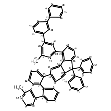 Cc1cc(-c2ccccc2-c2ccccc2-c2ccc3c(c2)-c2c(-c4nc(C)cc(-c5cccc(-c6ccccc6)c5)n4)cccc2C3(c2ccccc2)c2ccccc2)ccn1